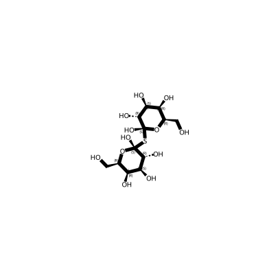 OC[C@H]1O[C@](O)(S[C@@]2(O)O[C@H](CO)[C@H](O)[C@H](O)[C@H]2O)[C@H](O)[C@@H](O)[C@H]1O